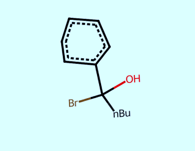 CCCCC(O)(Br)c1ccccc1